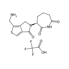 NCc1scc2c1CN([C@H]1CCCC(=O)NC1=O)C2=O.O=C(O)C(F)(F)F